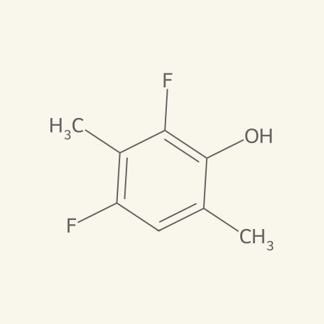 Cc1cc(F)c(C)c(F)c1O